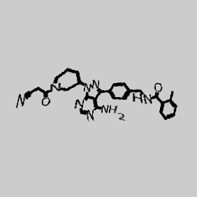 Cc1ccccc1C(=O)NCc1ccc(-c2nn(C3CCCN(C(=O)CC#N)C3)c3ncnc(N)c23)cc1